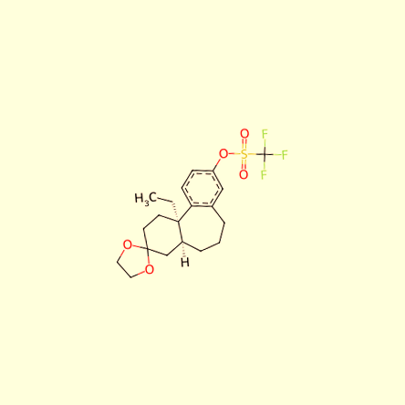 CC[C@@]12CCC3(C[C@@H]1CCCc1cc(OS(=O)(=O)C(F)(F)F)ccc12)OCCO3